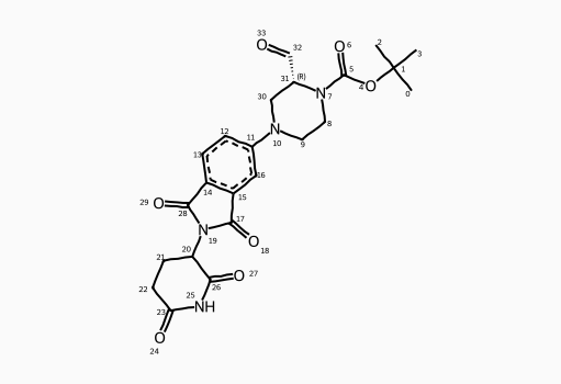 CC(C)(C)OC(=O)N1CCN(c2ccc3c(c2)C(=O)N(C2CCC(=O)NC2=O)C3=O)C[C@@H]1C=O